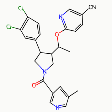 Cc1cncc(C(=O)N2CC(c3ccc(Cl)c(Cl)c3)C(C(C)Oc3ccc(C#N)cn3)C2)c1